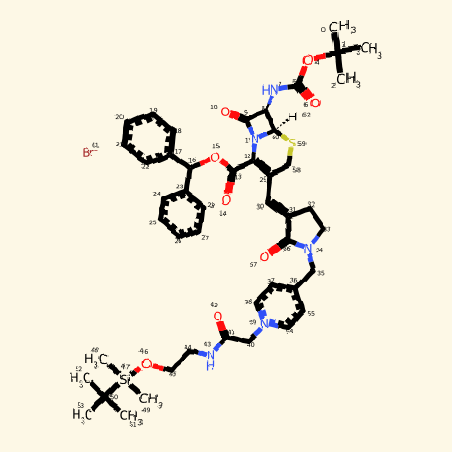 CC(C)(C)OC(=O)N[C@@H]1C(=O)N2C(C(=O)OC(c3ccccc3)c3ccccc3)=C(/C=C3\CCN(Cc4cc[n+](CC(=O)NCCO[Si](C)(C)C(C)(C)C)cc4)C3=O)CS[C@H]12.[Br-]